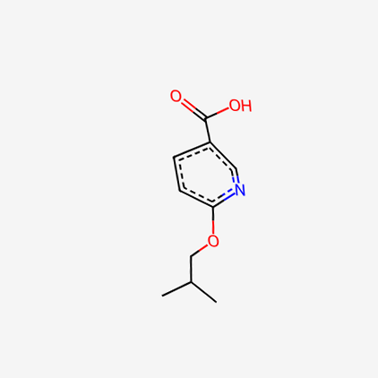 CC(C)COc1ccc(C(=O)O)cn1